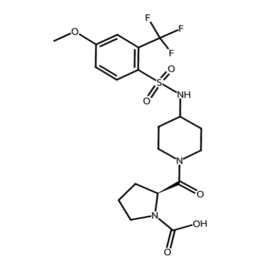 COc1ccc(S(=O)(=O)NC2CCN(C(=O)[C@@H]3CCCN3C(=O)O)CC2)c(C(F)(F)F)c1